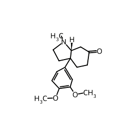 COc1ccc(C23CCC(=O)C[C@H]2N(C)CC3)cc1OC